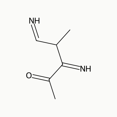 CC(=O)C(=N)C(C)C=N